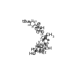 CC[C@H]1[C@@H](O)[C@@H]2[C@H](CC[C@]3(C)[C@@H]([C@H](C)COC(=O)NS(=O)(=O)c4ccc(C(C)(C)C)cc4)CC[C@@H]23)[C@@]2(C)CC[C@@H](O)C[C@@H]12